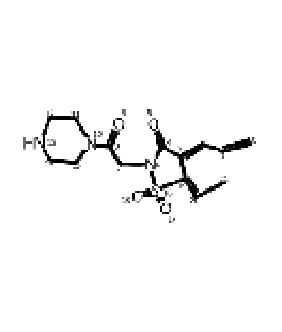 C=C/C=C1/C(=O)N(CC(=O)N2CCNCC2)S(=O)(=O)/C1=C/C